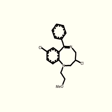 COCCN1CC(Cl)CN=C(c2ccccc2)c2cc(Cl)ccc21